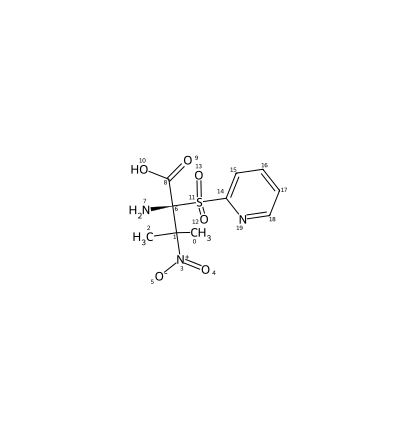 CC(C)([N+](=O)[O-])[C@](N)(C(=O)O)S(=O)(=O)c1ccccn1